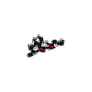 Cc1ccc(NC(=O)c2ccnc(C(C)(F)F)c2)cc1-c1cc(OCCO)nc(C23CC(OCCOc4cc(-c5cc(NC(=O)c6ccnc(C(F)F)c6)ccc5C)cc(C56CC(OCCOc7cc(-c8cc(NC(=O)c9cccc(C(F)(F)F)c9)cnc8C)cc(C89CCOCC8C9)n7)OCC5C6)n4)OCC2C3)c1